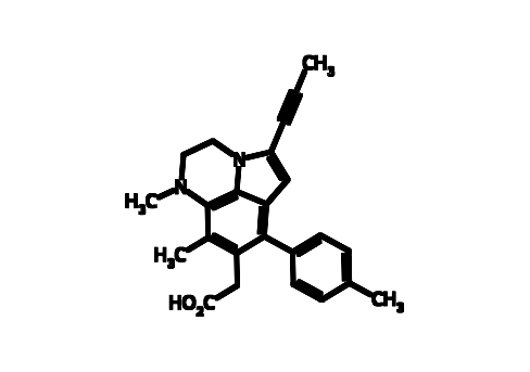 CC#Cc1cc2c(-c3ccc(C)cc3)c(CC(=O)O)c(C)c3c2n1CCN3C